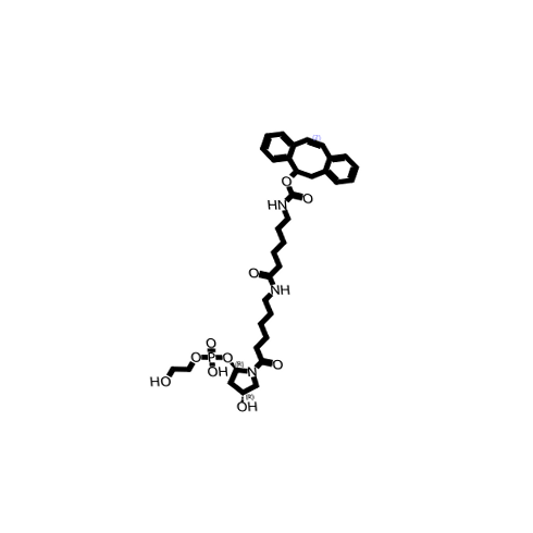 O=C(CCCCCNC(=O)OC1Cc2ccccc2/C=C\c2ccccc21)NCCCCCC(=O)N1C[C@H](O)C[C@H]1OP(=O)(O)OCCO